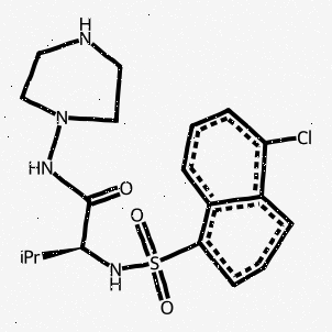 CC(C)[C@H](NS(=O)(=O)c1cccc2c(Cl)cccc12)C(=O)NN1CCNCC1